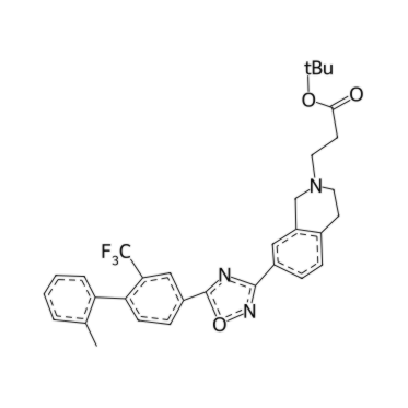 Cc1ccccc1-c1ccc(-c2nc(-c3ccc4c(c3)CN(CCC(=O)OC(C)(C)C)CC4)no2)cc1C(F)(F)F